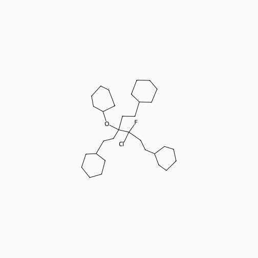 FC(Cl)(CCC1CCCCC1)C(CCC1CCCCC1)(CCC1CCCCC1)OC1C[CH]CCC1